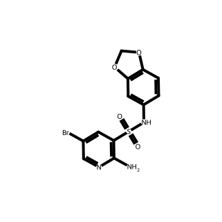 Nc1ncc(Br)cc1S(=O)(=O)Nc1ccc2c(c1)OCO2